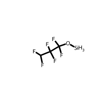 FC(F)C(F)(F)C(F)(F)O[SiH3]